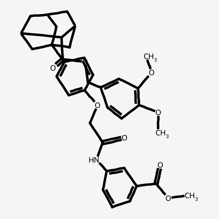 COC(=O)c1cccc(NC(=O)COc2ccc(C34CC5CC(C3)C(C(=O)OCc3ccc(OC)c(OC)c3)C(C5)C4)cc2)c1